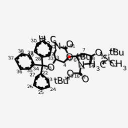 CN(CC(CCC1CC(O[Si](C)(C)C(C)(C)C)CN1C(=O)OC(C)(C)C)OC(c1ccccc1)(c1ccccc1)c1ccccc1)C(=O)OC(C)(C)C